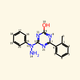 Cc1ccccc1-c1nc(O)nc(N(N)c2ccccc2)n1